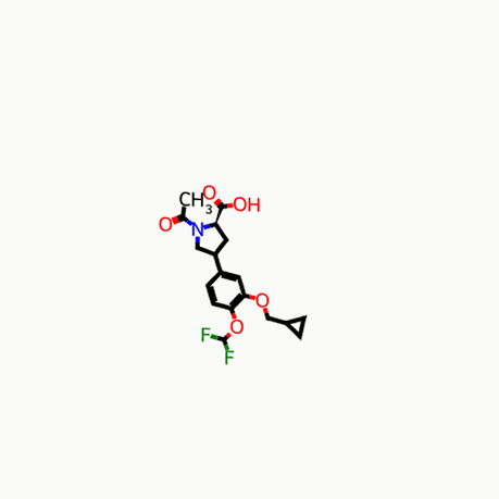 CC(=O)N1CC(c2ccc(OC(F)F)c(OCC3CC3)c2)C[C@@H]1C(=O)O